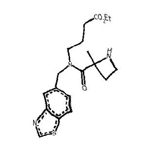 CCOC(=O)CCCN(Cc1ccc2scnc2c1)C(=O)C1(C)CCN1